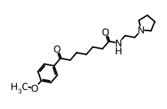 COc1ccc(C(=O)CCCCCC(=O)NCCN2CCCC2)cc1